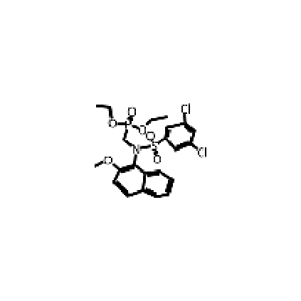 CCOP(=O)(CN(c1c(OC)ccc2ccccc12)S(=O)(=O)c1cc(Cl)cc(Cl)c1)OCC